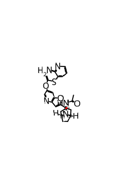 C=C(Oc1cnc2cc(CN3[C@@H]4CC[C@H]3C[C@H](NC(C)=O)C4)oc2c1)Sc1cccnc1N